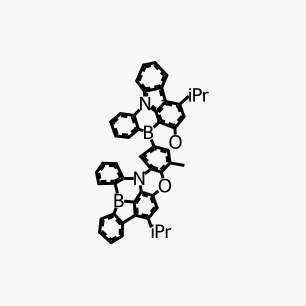 Cc1c2c(cc3c1Oc1cc(C(C)C)c4c5c1N3c1ccccc1B5c1ccccc1-4)B1c3ccccc3-n3c4ccccc4c4c(C(C)C)cc(c1c43)O2